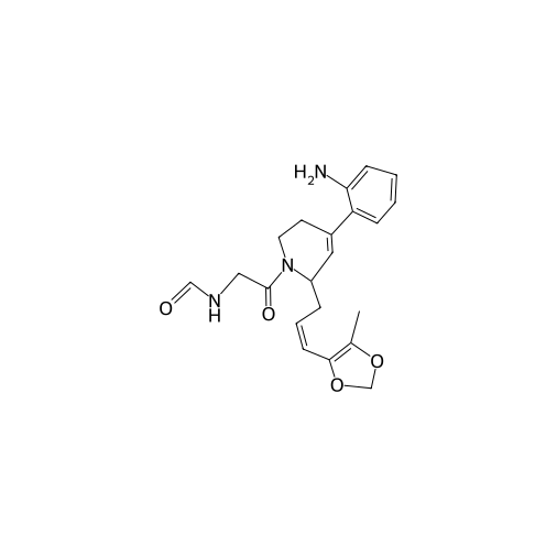 CC1=C(/C=C\CC2C=C(c3ccccc3N)CCN2C(=O)CNC=O)OCO1